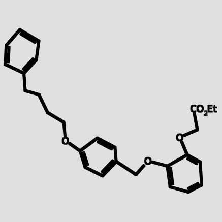 CCOC(=O)COc1ccccc1OCc1ccc(OCCCCc2ccccc2)cc1